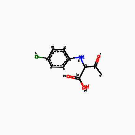 CC(=O)C(Nc1ccc(Cl)cc1)C(=O)O